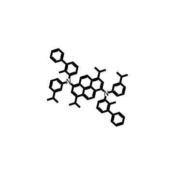 Cc1c(-c2ccccc2)cccc1N(c1cccc(C(C)C)c1)c1cc(C(C)C)c2ccc3c(N(c4cccc(C(C)C)c4)c4cccc(-c5ccccc5)c4C)cc(C(C)C)c4ccc1c2c43